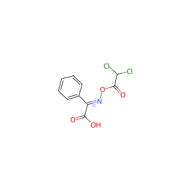 O=C(O)/C(=N/OC(=O)C(Cl)Cl)c1ccccc1